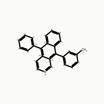 Cc1cccc(-c2c3ccccc3c(-c3ccccc3)c3ccncc23)c1